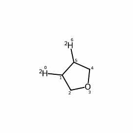 [2H]C1COCC1[2H]